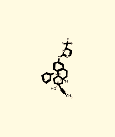 CC#C[C@@]1(O)CC[C@@]2(Cc3ccccc3)c3ccc(Oc4nccc(C(F)(F)F)n4)cc3CC[C@@H]2C1